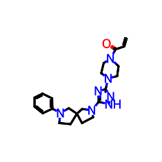 C=CC(=O)N1CCN(c2n[nH]c(N3CCC4(CCN(c5ccccc5)C4)C3)n2)CC1